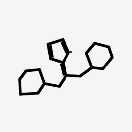 [C]1=CC=CC1=C(CC1CCCCC1)CC1CCCCC1